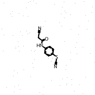 N#CCC(=O)Nc1ccc(SC#N)cc1